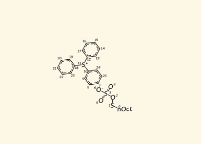 CCCCCCCCSOS(=O)(=O)[O-].c1ccc([S+](c2ccccc2)c2ccccc2)cc1